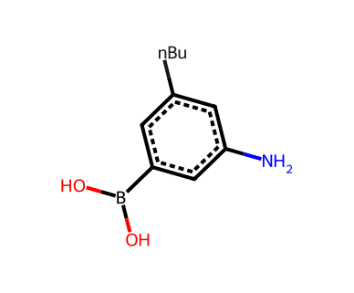 CCCCc1cc(N)cc(B(O)O)c1